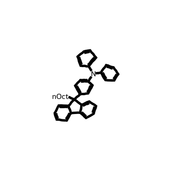 CCCCCCCCC1(c2ccc(N(c3ccccc3)c3ccccc3)cc2)c2ccccc2-c2ccccc21